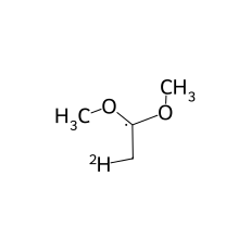 [2H]C[C](OC)OC